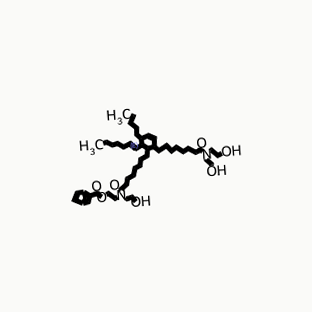 CCCCC/C=C/C1C(CCCCC)C=CC(CCCCCCCC(=O)N(CCO)CCO)C1CCCCCCCC(=O)N(CCO)CCOC(=O)C1CC2C=CC1C2